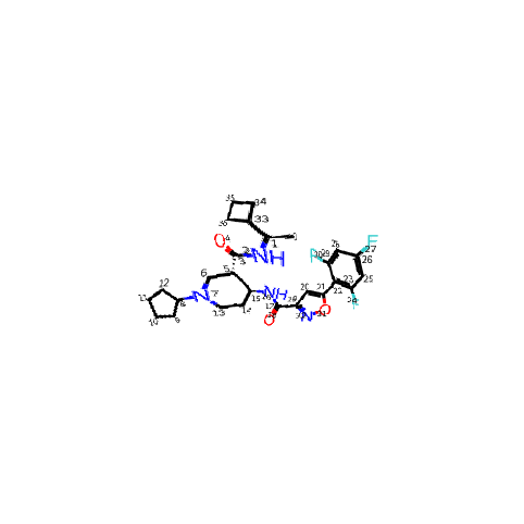 C[C@@H](NC(=O)[C@H]1CN(C2CCCC2)CC[C@@H]1NC(=O)c1cc(-c2c(F)cc(F)cc2F)on1)C1CCC1